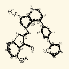 Cn1cc(/C=C2\Oc3cccc(O)c3C2=O)c2c(-c3ccc(-c4ccco4)cc3)ccnc21